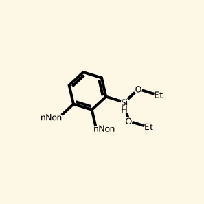 CCCCCCCCCc1cccc([SiH](OCC)OCC)c1CCCCCCCCC